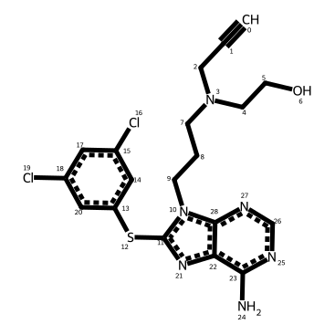 C#CCN(CCO)CCCn1c(Sc2cc(Cl)cc(Cl)c2)nc2c(N)ncnc21